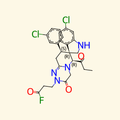 C=C(CC)[C@H]1N2CC(=O)N(CCC(=O)F)N=C2C[C@@H](c2cccc(Cl)c2)[C@]12C(=O)Nc1cc(Cl)ccc12